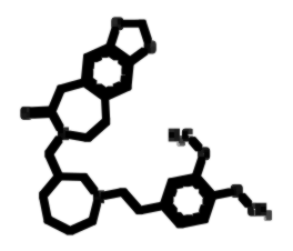 COc1ccc(CCN2CCCCC(CN3CCc4cc5c(cc4CC3=O)OCO5)C2)cc1OC